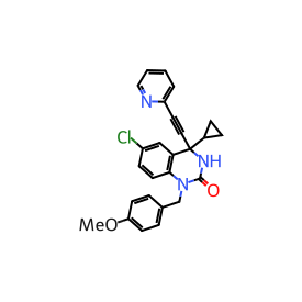 COc1ccc(CN2C(=O)NC(C#Cc3ccccn3)(C3CC3)c3cc(Cl)ccc32)cc1